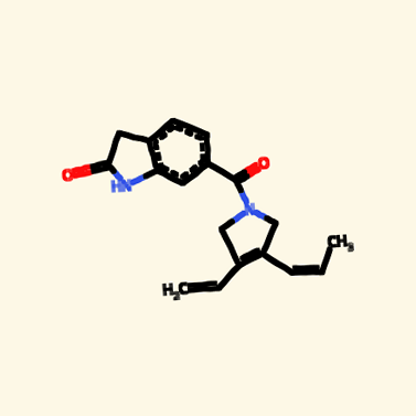 C=CC1=C(/C=C\C)CN(C(=O)c2ccc3c(c2)NC(=O)C3)C1